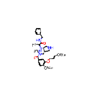 CCC(N[C@@H]1CNC[C@H]1CN(C(=O)c1ccc(OC)c(OCCCOC)c1)C(C)C)C(=O)NCc1ccccc1